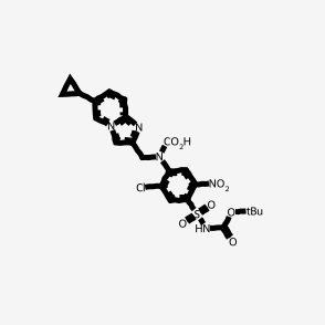 CC(C)(C)OC(=O)NS(=O)(=O)c1cc(Cl)c(N(Cc2cn3cc(C4CC4)ccc3n2)C(=O)O)cc1[N+](=O)[O-]